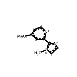 COc1ccnc(-c2nccn2C)c1